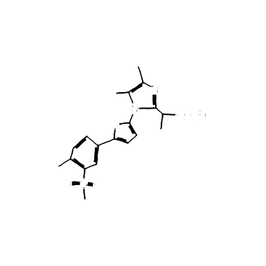 CCOC(=O)C(C)c1nc(C)c(C)n1-c1ccc(-c2ccc(C)c(S(C)(=O)=O)c2)s1